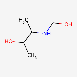 CC(O)C(C)NCO